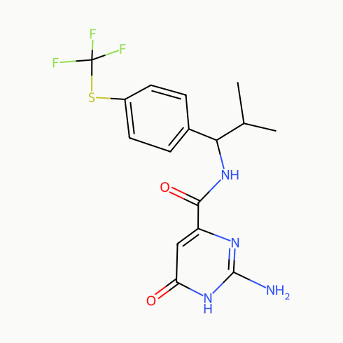 CC(C)C(NC(=O)c1cc(=O)[nH]c(N)n1)c1ccc(SC(F)(F)F)cc1